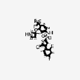 C[C@@]1(Oc2cc(NS(=O)(=O)c3cc(-c4ccc(F)cc4F)c(Cl)s3)ccc2C(F)(F)F)CCNC1